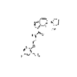 CCC[C@H]1CCCN1c1ccn2ncc(C(=O)NCCOc3ncc(F)cc3C)c2n1